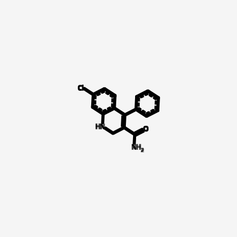 NC(=O)C1=C(c2ccccc2)c2ccc(Cl)cc2NC1